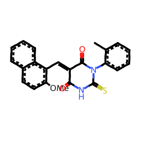 COc1ccc2ccccc2c1C=C1C(=O)NC(=S)N(c2ccccc2C)C1=O